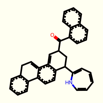 O=C(c1cccc2ccccc12)C1C=c2c(ccc3c2=CCc2ccccc2-3)C(C2=CC=CC=CN2)C1